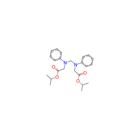 CC(C)OC(=O)CN(CN(CC(=O)OC(C)C)c1ccccc1)c1ccccc1